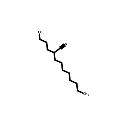 CCCCCCCCC(C#N)CCCC